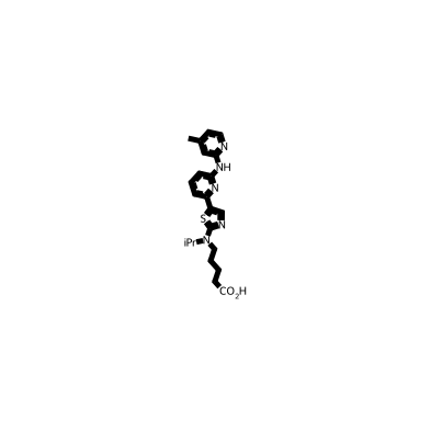 Cc1ccnc(Nc2cccc(-c3cnc(N(CCCCC(=O)O)C(C)C)s3)n2)c1